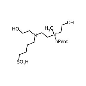 CCCCC[N+](C)(CCO)CCN(CCO)CCCCS(=O)(=O)O